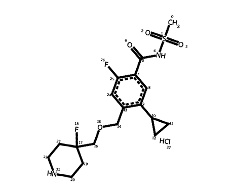 CS(=O)(=O)NC(=O)c1cc(C2CC2)c(COCC2(F)CCNCC2)cc1F.Cl